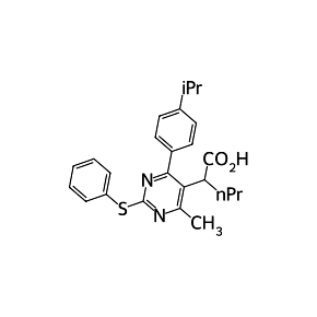 CCCC(C(=O)O)c1c(C)nc(Sc2ccccc2)nc1-c1ccc(C(C)C)cc1